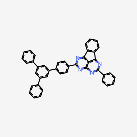 c1ccc(-c2cc(-c3ccccc3)cc(-c3ccc(-c4nc5c6c(nc(-c7ccccc7)nc6n4)-c4ccccc4-5)cc3)c2)cc1